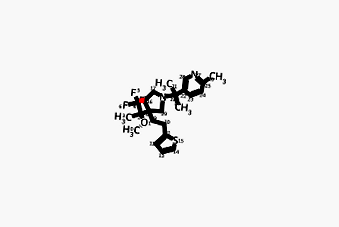 COC(C)(C(F)(F)F)C1(CCc2cccs2)CCN(C(C)(C)c2ccc(C)nc2)C1